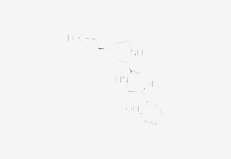 CCC[C@H]1CCN[C@@H](C(=O)N[C@@H](CO)[C@@H](O)c2ccccc2)C1